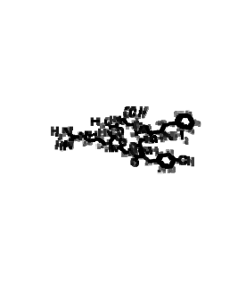 CC(C)C[C@H](NC(=O)[C@H](C)NC(=O)[C@H](CCCNC(=N)N)NC(=O)CNC(=O)[C@H](Cc1ccc(O)cc1)NC(=O)[C@H](CO)NC(=O)[C@@H](N)Cc1ccccc1)C(=O)O